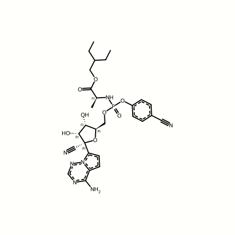 CCC(CC)COC(=O)[C@H](C)NP(=O)(OC[C@H]1O[C@@](C#N)(c2ccc3c(N)ncnn23)[C@H](O)[C@@H]1O)Oc1ccc(C#N)cc1